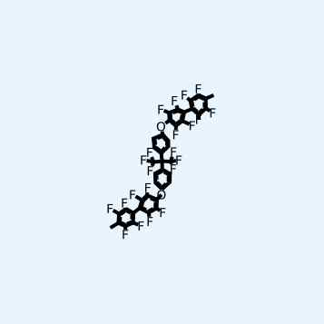 Cc1c(F)c(F)c(-c2c(F)c(F)c(Oc3ccc(C(c4ccc(Oc5c(F)c(F)c(-c6c(F)c(F)c(C)c(F)c6F)c(F)c5F)cc4)(C(F)(F)F)C(F)(F)F)cc3)c(F)c2F)c(F)c1F